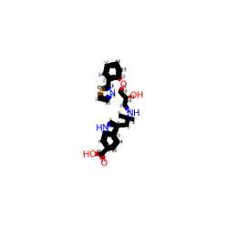 CC(C)(Cc1c[nH]c2cc(C(=O)O)ccc12)NC[C@H](O)COc1ccccc1-c1nccs1